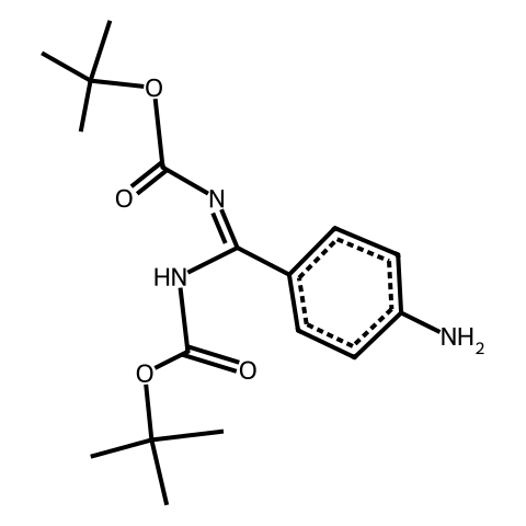 CC(C)(C)OC(=O)/N=C(\NC(=O)OC(C)(C)C)c1ccc(N)cc1